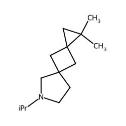 CC(C)N1CCC2(C1)CC1(C2)CC1(C)C